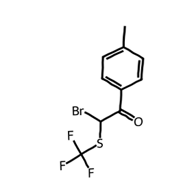 Cc1ccc(C(=O)C(Br)SC(F)(F)F)cc1